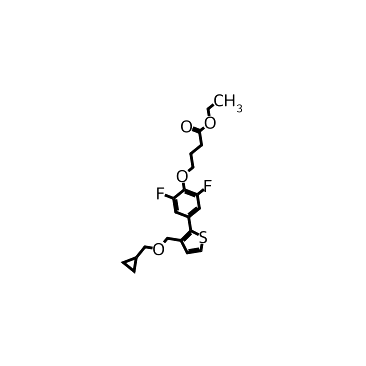 CCOC(=O)CCCOc1c(F)cc(-c2sccc2COCC2CC2)cc1F